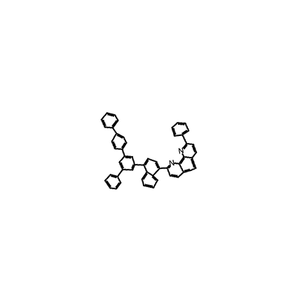 c1ccc(-c2ccc(-c3cc(-c4ccccc4)cc(-c4ccc(-c5ccc6ccc7ccc(-c8ccccc8)nc7c6n5)c5ccccc45)c3)cc2)cc1